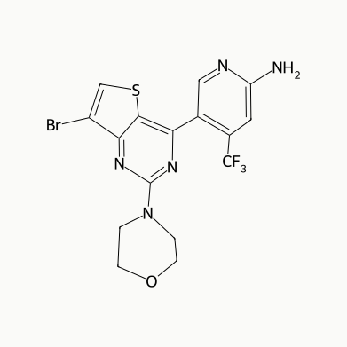 Nc1cc(C(F)(F)F)c(-c2nc(N3CCOCC3)nc3c(Br)csc23)cn1